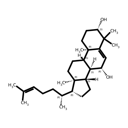 CC(C)=CCC[C@@H](C)[C@H]1CC[C@H]2[C@@H]3[C@@H](O)C=C4C(C)(C)[C@@H](O)CC[C@]4(C)[C@H]3CC[C@]12C